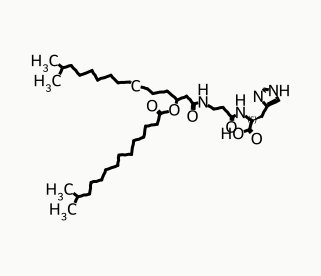 CC(C)CCCCCCCCCCCC(=O)OC(CCCCCCCCCCCC(C)C)CC(=O)NCCC(=O)N[C@@H](Cc1c[nH]cn1)C(=O)O